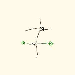 C[Si](C)(C)[Si](C)(Br)Br